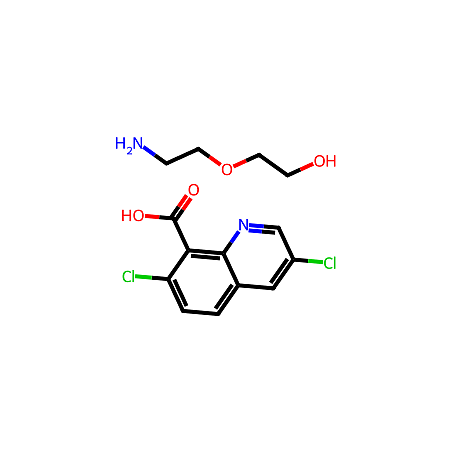 NCCOCCO.O=C(O)c1c(Cl)ccc2cc(Cl)cnc12